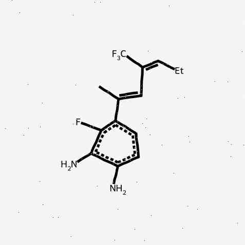 CC/C=C(\C=C(/C)c1ccc(N)c(N)c1F)C(F)(F)F